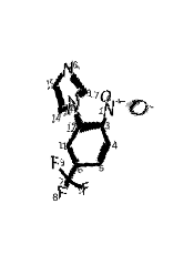 O=[N+]([O-])c1ccc(C(F)(F)F)cc1-n1ccnc1